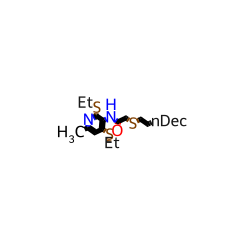 CCCCCCCCCCCCSCC(=O)Nc1c(SCC)cc(C)nc1SCC